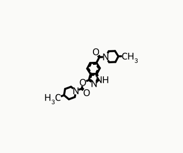 CC1CCN(C(=O)Oc2n[nH]c3cc(C(=O)N4CCC(C)CC4)ccc23)CC1